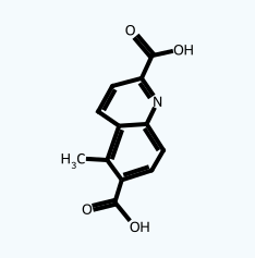 Cc1c(C(=O)O)ccc2nc(C(=O)O)ccc12